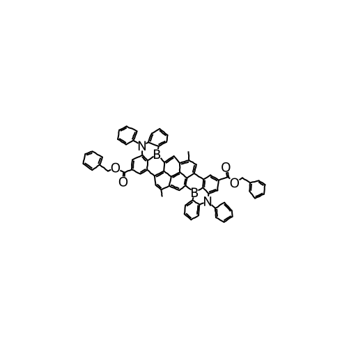 Cc1cc2c3c(cc4c(C)cc5c6c(cc1c3c46)B1c3ccccc3N(c3ccccc3)c3cc(C(=O)OCc4ccccc4)cc-5c31)B1c3ccccc3N(c3ccccc3)c3cc(C(=O)OCc4ccccc4)cc-2c31